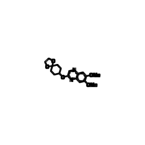 COc1cc2ncc(OC3CCC4(CC3)OCCO4)nc2cc1OC